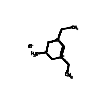 CCN1C=[N+](CC)CN(C)C1.[Cl-]